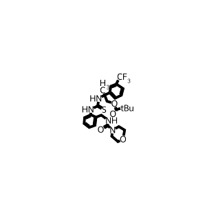 CC(C)(C)C(=O)OCC(C)(NC(=S)Nc1ccccc1CNC(=O)N1CCOCC1)c1cccc(C(F)(F)F)c1